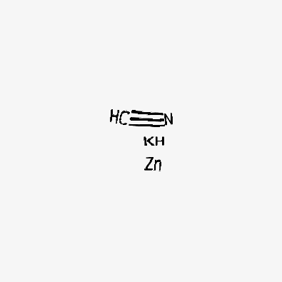 C#N.[KH].[Zn]